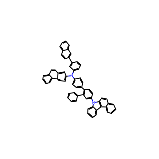 c1ccc(-c2cc(-n3c4ccccc4c4c5ccccc5ccc43)ccc2-c2ccc(N(c3cccc(-c4ccc5ccccc5c4)c3)c3ccc4c(ccc5ccccc54)c3)cc2)cc1